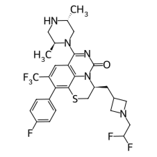 C[C@@H]1CN(c2nc(=O)n3c4c(c(-c5ccc(F)cc5)c(C(F)(F)F)cc24)SC[C@@H]3CC2CN(CC(F)F)C2)[C@@H](C)CN1